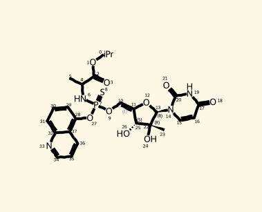 CC(C)OC(=O)C(C)NP(=S)(O/C=C1/O[C@@H](n2ccc(=O)[nH]c2=O)[C@](C)(O)[C@@H]1O)Oc1cccc2ncccc12